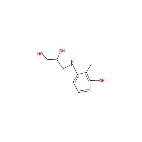 Cc1c(O)cccc1NCC(O)CO